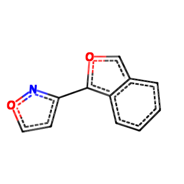 c1ccc2c(-c3ccon3)occ2c1